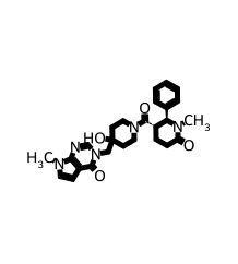 CN1C(=O)CC[C@H](C(=O)N2CCC(O)(Cn3cnc4c(ccn4C)c3=O)CC2)[C@H]1c1ccccc1